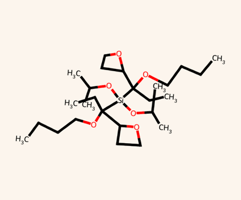 CCCCOC(CC)(C1CCO1)[Si](OC(C)C)(OC(C)C)C(CC)(OCCCC)C1CCO1